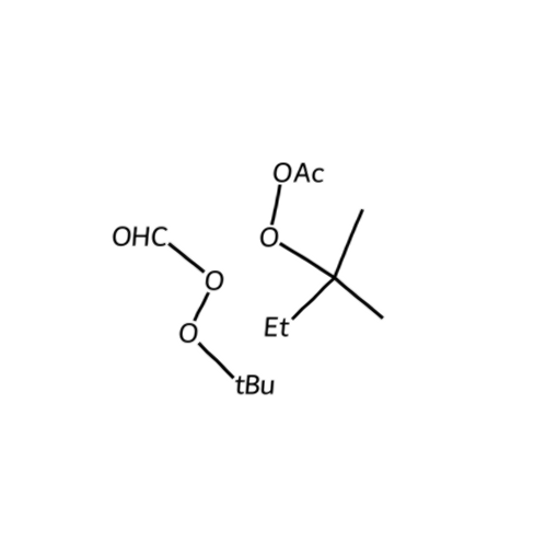 CC(C)(C)OOC=O.CCC(C)(C)OOC(C)=O